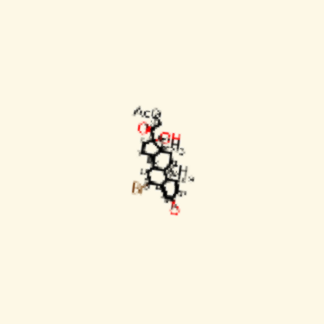 CC(=O)OCC(=O)[C@@]1(O)CCC2C3CC(Br)C4=CC(=O)C=C[C@]4(C)C3CC[C@@]21C